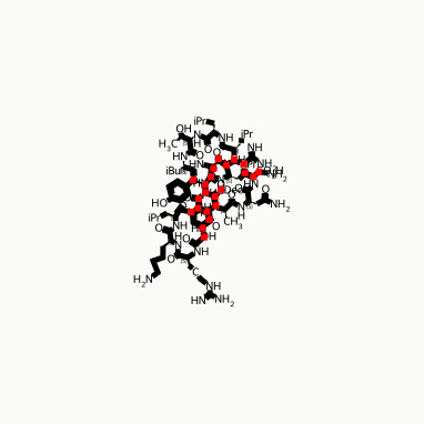 CCCCCCCCCCCCCC(=O)NCC(=O)N[C@@H](CCCNC(=N)N)C(=O)N[C@@H](CCCCN)C(=O)N[C@@H](CC(C)C)C(=O)NCC(=O)N[C@@H](Cc1ccc(O)cc1)C(=O)N[C@@H](CCCCN)C(=O)N[C@@H](CC(C)C)C(=O)N[C@@H](CC(C)C)C(=O)N[C@H](C(=O)N[C@H](C(=O)N[C@@H](CCCNC(=N)N)C(=O)N[C@@H](Cc1ccc(O)cc1)C(=O)N[C@@H](C)C(=O)N[C@@H](CC(N)=O)C(=O)N[C@@H](CC(C)C)C(=O)O)[C@@H](C)CC)[C@@H](C)O